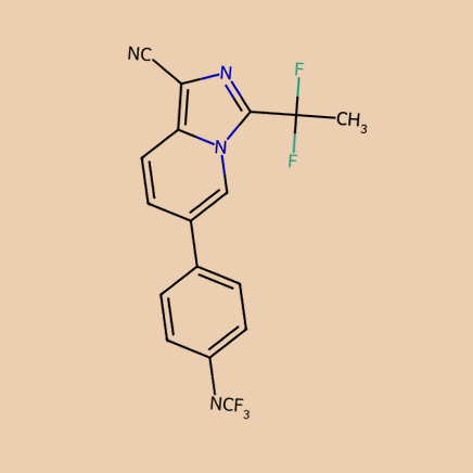 CC(F)(F)c1nc(C#N)c2ccc(-c3ccc(NC(F)(F)F)cc3)cn12